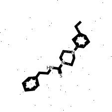 CCc1cccc(N2CCN(C(=S)NCCc3ccccc3)CC2)c1